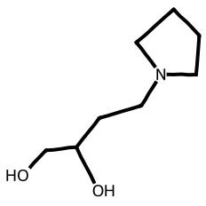 OCC(O)CCN1CCCC1